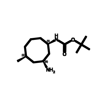 C[C@H]1CCC[C@@H](NC(=O)OC(C)(C)C)C[C@@H](N)C1